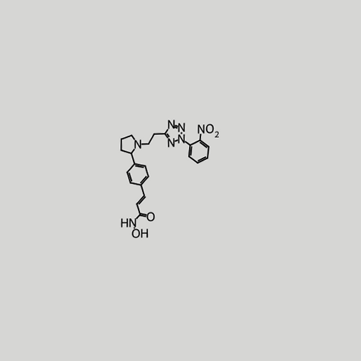 O=C(C=Cc1ccc(C2CCCN2CCc2nnn(-c3ccccc3[N+](=O)[O-])n2)cc1)NO